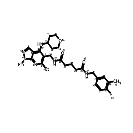 CCc1nc2c(cnn2CC)c(NC2CCOCC2)c1CNC(=O)CCCC(=O)NCc1ccc(F)c(C)c1